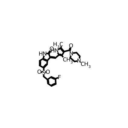 Cc1[nH]c(/C=C2\C(=O)Nc3ccc(S(=O)(=O)Cc4cccc(F)c4)cc32)c(C)c1C(=O)N1CCN(C)CC1